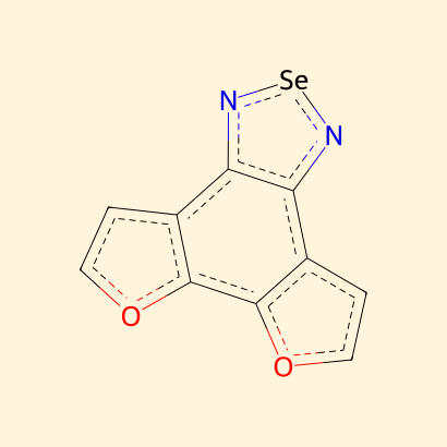 c1cc2c3n[se]nc3c3ccoc3c2o1